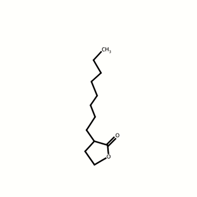 CCCCCCCCC1CCOC1=O